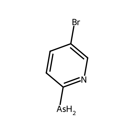 [AsH2]c1ccc(Br)cn1